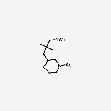 CNCC(C)(C)C[C@H]1CN(C(C)=O)CCO1